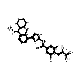 COC(c1cccc(-c2csc(NC(=O)c3cc(F)c(/C=C(\C)C(=O)O)c(F)c3)n2)c1F)C1CCCCC1